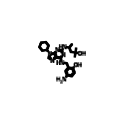 CC(CC(C)(C)O)Nc1nc(NCc2cc(N)ccc2O)c2ncn(C3CCCCC3)c2n1